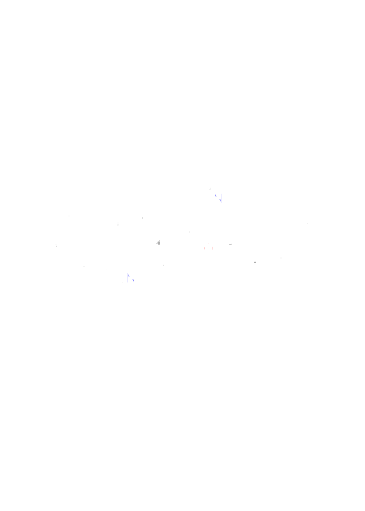 CCN1CC(COc2ccc(C)cc2N)Cc2ccccc21